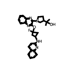 CC(C)(O)C1CCN(c2nc3ccccc3nc2OC2(F)CC(Nc3ccc4ccccc4n3)C2)C1